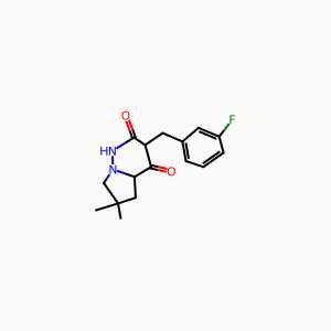 CC1(C)CC2C(=O)C(Cc3cccc(F)c3)C(=O)NN2C1